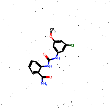 NC(=O)c1ccccc1NC(=O)Nc1cc(Cl)cc(OC(F)(F)F)c1